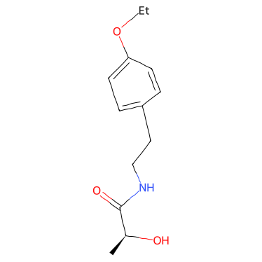 CCOc1ccc(CCNC(=O)[C@H](C)O)cc1